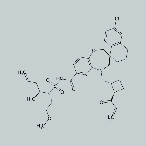 C=CC[C@H](C)[C@@H](CCOC)S(=O)(=O)NC(=O)c1ccc2c(n1)N(C[C@@H]1CC[C@H]1C(=O)C=C)C[C@@]1(CCCc3cc(Cl)ccc31)CO2